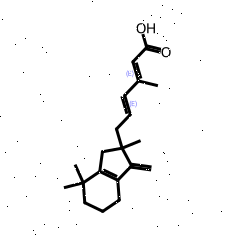 C=C1C2=C(CC1(C)C/C=C/C(C)=C/C(=O)O)C(C)(C)CCC2